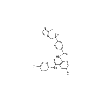 Cc1nccn1CC1(c2ccc(C(=O)Nc3ccc(Cl)cc3C(=O)Nc3ccc(Cl)cn3)cc2)CC1